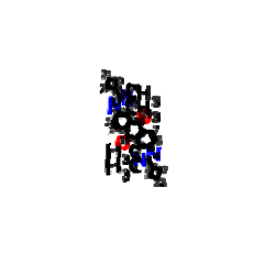 CN(C)C(=Nc1ccc2c(c1)C(=O)c1ccc(N=C(C3CCC3)N(C)C)cc1C2=O)C1CCC1